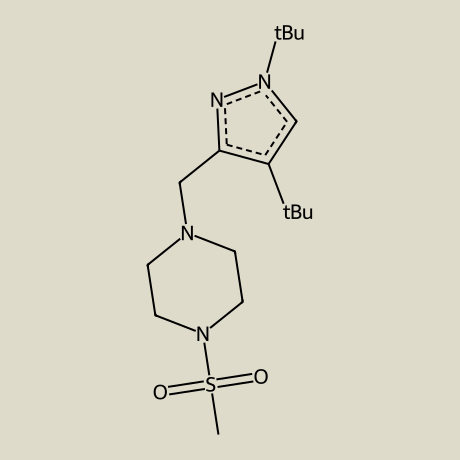 CC(C)(C)c1cn(C(C)(C)C)nc1CN1CCN(S(C)(=O)=O)CC1